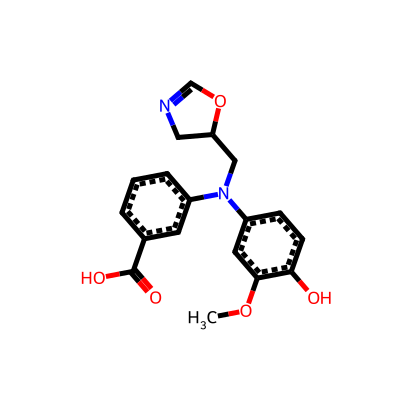 COc1cc(N(CC2CN=CO2)c2cccc(C(=O)O)c2)ccc1O